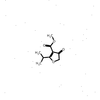 COC(=O)C1=C(C(C)C)OCC1=O